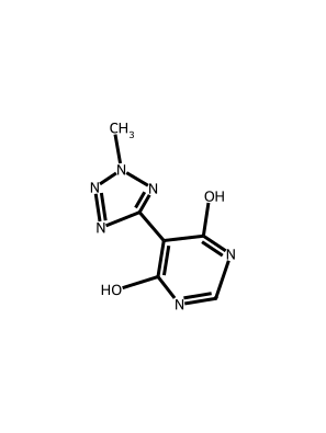 Cn1nnc(-c2c(O)ncnc2O)n1